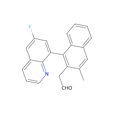 Cc1cc2ccccc2c(-c2cc(F)cc3cccnc23)c1CC=O